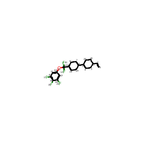 C=CC1CCC(C2CCC(C(F)(F)Oc3cc(F)c(F)c(F)c3)CC2)CC1